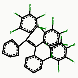 Fc1c(F)c(F)c(C(=C(c2ccccc2-c2c(F)c(F)c(F)c(F)c2F)c2c(F)c(F)c(F)c(F)c2F)c2ccccc2)c(F)c1F